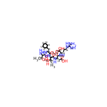 C[C@@H](O)[C@H](N)C(=O)N[C@@H](Cc1ccccc1)C(=O)N[C@H](C(=O)N[C@@H](CC(=O)O)C(=O)N[C@@H](CCCNC(=N)N)C(=O)O)[C@@H](C)O